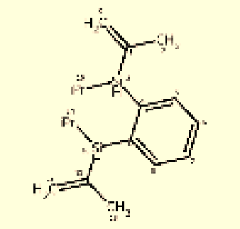 C=C(C)[SiH](c1ccccc1[SiH](C(=C)C)C(C)C)C(C)C